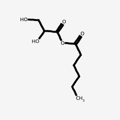 CCCCCC(=O)OC(=O)C(O)CO